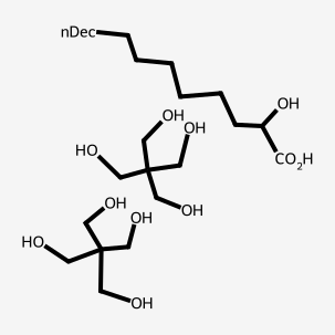 CCCCCCCCCCCCCCCCC(O)C(=O)O.OCC(CO)(CO)CO.OCC(CO)(CO)CO